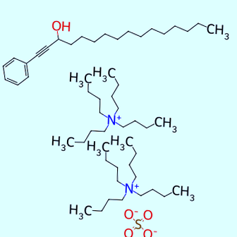 CCCCCCCCCCCCCC(O)C#Cc1ccccc1.CCCC[N+](CCCC)(CCCC)CCCC.CCCC[N+](CCCC)(CCCC)CCCC.O=S(=O)([O-])[O-]